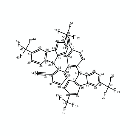 N#Cc1ccc(-n2c3ccc(C(F)(F)F)cc3c3cc(C(F)(F)F)ccc32)c(-c2cccc(C#N)c2-n2c3ccc(C(F)(F)F)cc3c3cc(C(F)(F)F)ccc32)c1